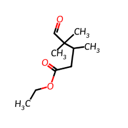 CCOC(=O)CC(C)C(C)(C)C=O